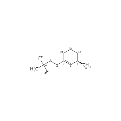 C[C@H]1C=C(CCC(C)(F)F)CCC1